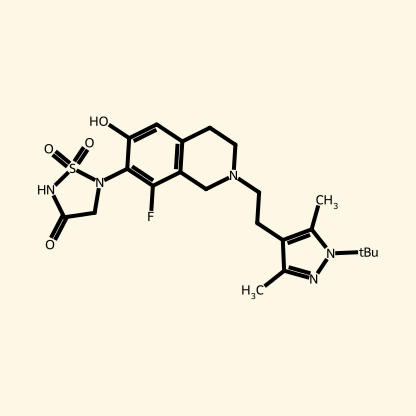 Cc1nn(C(C)(C)C)c(C)c1CCN1CCc2cc(O)c(N3CC(=O)NS3(=O)=O)c(F)c2C1